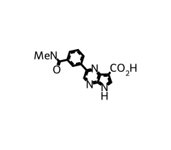 CNC(=O)c1cccc(-c2cnc3[nH]cc(C(=O)O)c3n2)c1